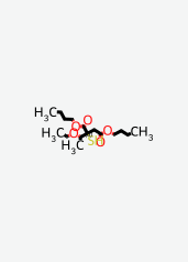 CCCCOC(=O)C[C@@](S)(C(=O)OCCCC)C(C)OCC